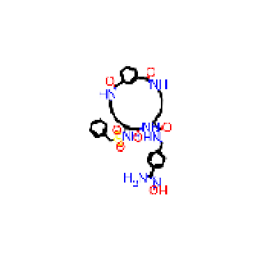 N/C(=N\O)c1ccc(CNC(=O)[C@@H]2CCCCNC(=O)c3cccc(c3)C(=O)NCCCC[C@@H](NS(=O)(=O)Cc3ccccc3)C(=O)N2)cc1